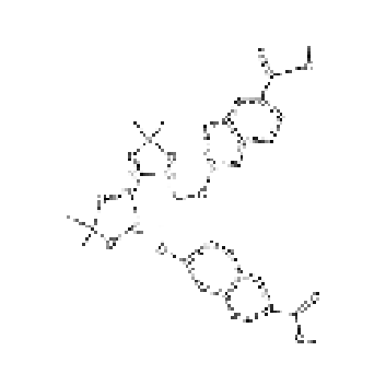 COC(=O)c1ccc2cc(OC[C@@H]3OC(C)(C)O[C@H]3[C@H]3OC(C)(C)O[C@@H]3COc3ccc4cc(C(=O)OC)ccc4c3)ccc2c1